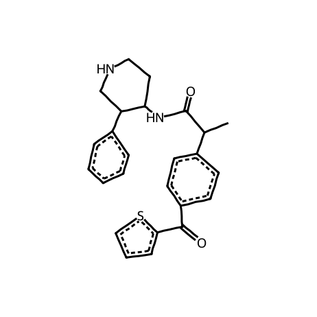 CC(C(=O)NC1CCNCC1c1ccccc1)c1ccc(C(=O)c2cccs2)cc1